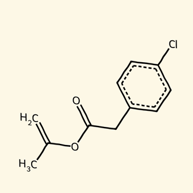 C=C(C)OC(=O)Cc1ccc(Cl)cc1